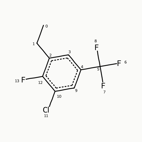 CCc1cc(C(F)(F)F)cc(Cl)c1F